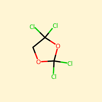 ClC1(Cl)COC(Cl)(Cl)O1